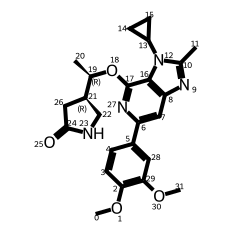 COc1ccc(-c2cc3nc(C)n(C4CC4)c3c(O[C@H](C)[C@H]3CNC(=O)C3)n2)cc1OC